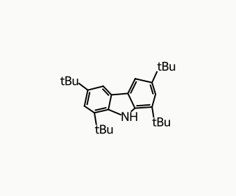 CC(C)(C)c1cc(C(C)(C)C)c2[nH]c3c(C(C)(C)C)cc(C(C)(C)C)cc3c2c1